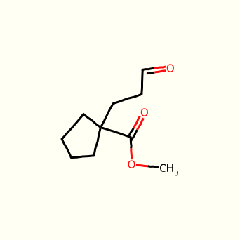 COC(=O)C1(CCC=O)CCCC1